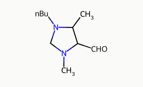 CCCCN1CN(C)C(C=O)C1C